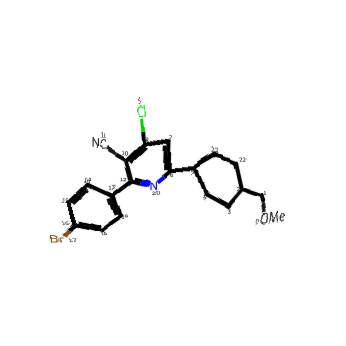 COCC1CCC(c2cc(Cl)c(C#N)c(-c3ccc(Br)cc3)n2)CC1